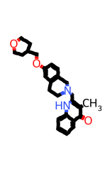 Cc1c(CN2CCc3cc(OCC4CCOCC4)ccc3C2)[nH]c2ccccc2c1=O